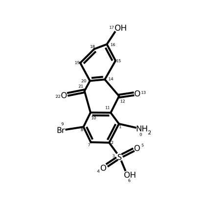 Nc1c(S(=O)(=O)O)cc(Br)c2c1C(=O)c1cc(O)ccc1C2=O